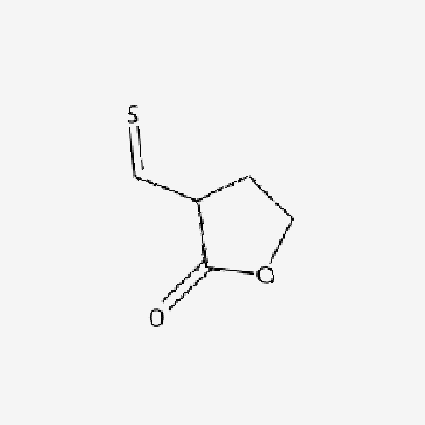 O=C1OCCC1C=S